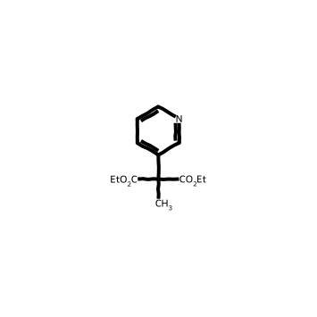 CCOC(=O)C(C)(C(=O)OCC)c1cccnc1